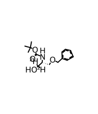 [2H]C([2H])(O)[C@@H](COCc1ccccc1)NC(=O)OC(C)(C)C